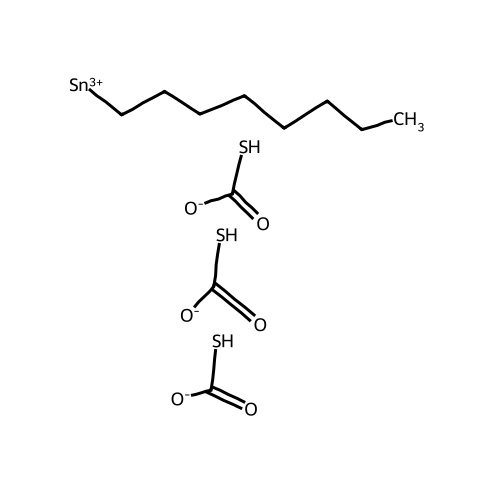 CCCCCCC[CH2][Sn+3].O=C([O-])S.O=C([O-])S.O=C([O-])S